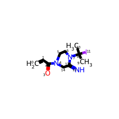 C=CC(=O)N1CCN(C(C)(C)I)C(=N)C1